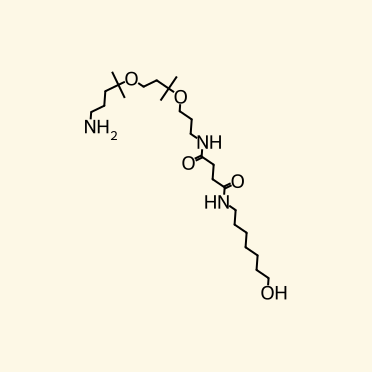 CC(C)(CCCN)OCCC(C)(C)OCCCNC(=O)CCC(=O)NCCCCCCCO